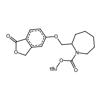 CC(C)(C)OC(=O)N1CCCCCC1COc1ccc2c(c1)COC2=O